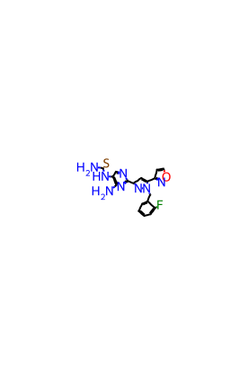 NC(=S)Nc1cnc(-c2cc(-c3ccon3)n(Cc3ccccc3F)n2)nc1N